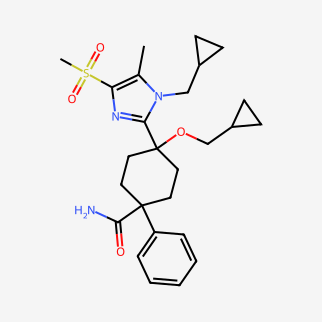 Cc1c(S(C)(=O)=O)nc(C2(OCC3CC3)CCC(C(N)=O)(c3ccccc3)CC2)n1CC1CC1